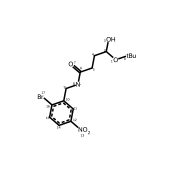 CC(C)(C)OC(O)CCC(=O)[N]Cc1cc([N+](=O)[O-])ccc1Br